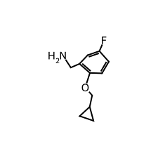 NCc1cc(F)ccc1OCC1CC1